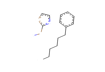 CCCCCCc1ccccc1.NSc1nccs1